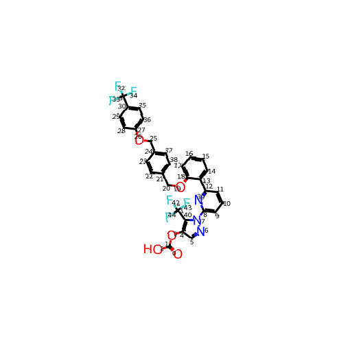 O=C(O)Oc1cnn(-c2cccc(-c3ccccc3OCc3ccc(COc4ccc(C(F)(F)F)cc4)cc3)n2)c1C(F)(F)F